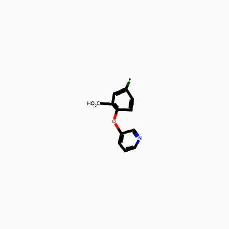 O=C(O)c1cc(F)ccc1Oc1cccnc1